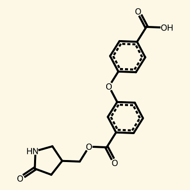 O=C1CC(COC(=O)c2cccc(Oc3ccc(C(=O)O)cc3)c2)CN1